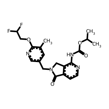 Cc1cc(CN2Cc3c(ccnc3NC(=O)OC(C)C)C2=O)cnc1OCC(F)F